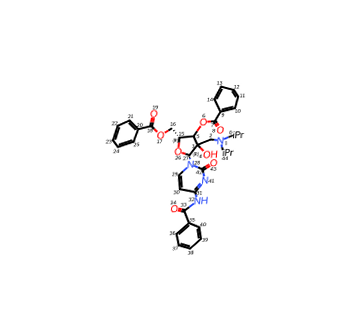 CC(C)N(CC1(O)C(OC(=O)c2ccccc2)[C@@H](COC(=O)c2ccccc2)O[C@H]1n1ccc(NC(=O)c2ccccc2)nc1=O)C(C)C